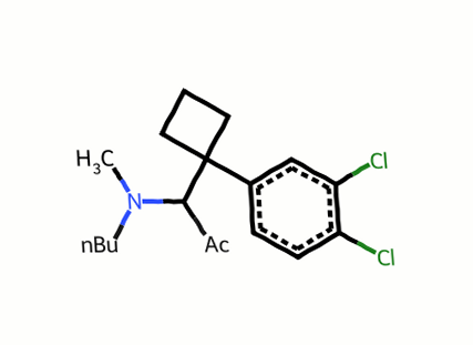 CCCCN(C)C(C(C)=O)C1(c2ccc(Cl)c(Cl)c2)CCC1